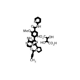 CC#CC(=O)N1CCCC1c1nc(-c2ccc(C(=O)Nc3ccccn3)c(OC)c2)c2c(N)nccn12.O=C(O)C(O)C(O)C(=O)O